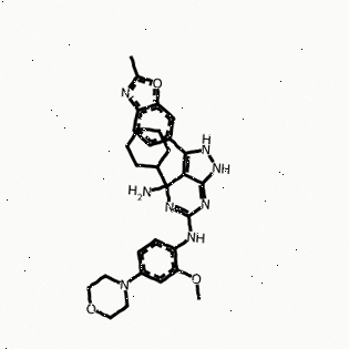 COc1cc(N2CCOCC2)ccc1NC1=NC(N)(C2CCCCC2)C2=C(c3ccc4nc(C)oc4c3)NNC2=N1